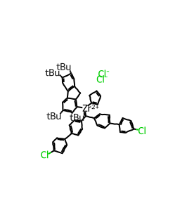 CC(C)(C)c1cc2c(cc1C(C)(C)C)-c1cc(C(C)(C)C)c(C(C)(C)C)[c]([Zr+2]([C]3=CC=CC3)=[C](c3ccc(-c4ccc(Cl)cc4)cc3)c3ccc(-c4ccc(Cl)cc4)cc3)c1C2.[Cl-].[Cl-]